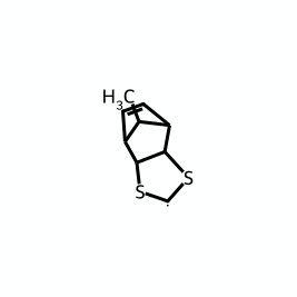 CC1C2C=CC1C1S[CH]SC21